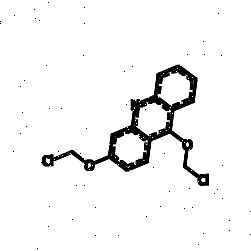 ClCOc1ccc2c(OCCl)c3ccccc3nc2c1